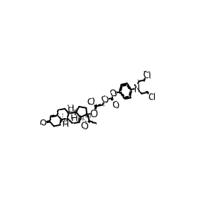 CC(=O)[C@@]1(OC(=O)COC(=O)Oc2ccc(N(CCCl)CCCl)cc2)CC[C@H]2[C@@H]3CCC4=CC(=O)CC[C@]4(C)[C@H]3CC[C@@]21C